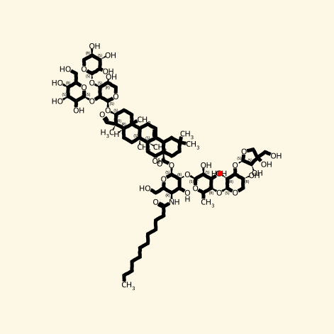 CCCCCCCCCCCC(=O)N[C@H]1C(CO)O[C@@H](OC(=O)[C@]23CCC(C)(C)CC2C2=CCC4C5(C)CC[C@H](O[C@@H]6OC[C@@H](O)[C@H](O[C@@H]7OC[C@@H](O)[C@H](O)C7O)C6O[C@@H]6OC(CO)[C@H](O)[C@H](O)C6O)[C@](C)(C=O)[C@@H]5CC[C@]4(C)[C@]2(C)CC3O)[C@H](O[C@@H]2OC(C)[C@H](O[C@@H]3OC[C@@H](O)C(O[C@@H]4OCC(O)(CO)[C@@H]4O)[C@H]3O)C(O)[C@@H]2O)C1O